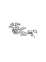 CC(c1ccccc1)[C@H](N)C(=O)N[C@H]([C]=O)Cc1ccc(OC2OC(CO)C(OC3OC(CO)C(O)C(O)C3O)C(O)C2O)cc1